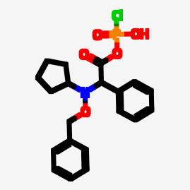 O=C(OP(=O)(O)Cl)C(c1ccccc1)N(OCc1ccccc1)C1CCCC1